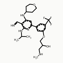 CNCC(O)COc1cc(-c2cc(NC3CCOCC3)c(C=N)c(NC(C)C)n2)cc(C(F)(F)F)c1